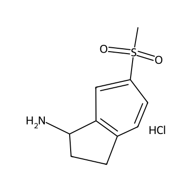 CS(=O)(=O)c1ccc2c(c1)C(N)CC2.Cl